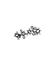 O=C1/C(=C/c2ccc(-c3c(O)c4ccccc4oc3=O)o2)SC(=S)N1C1C2CC3CC(C2)CC1C3